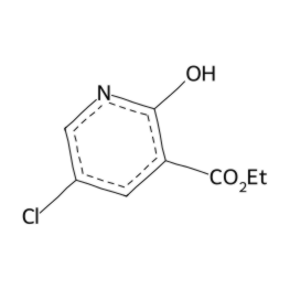 CCOC(=O)c1cc(Cl)cnc1O